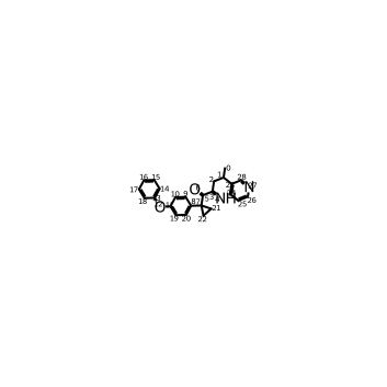 CC(CC(=N)C(=O)C1(c2ccc(Oc3ccccc3)cc2)CC1)c1cccnc1